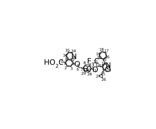 O=C(O)c1ccc(OCC23CCC(OCc4c(-c5ccccc5C(F)(F)F)noc4C4CC4)(CC2)CC3)c2ncccc12